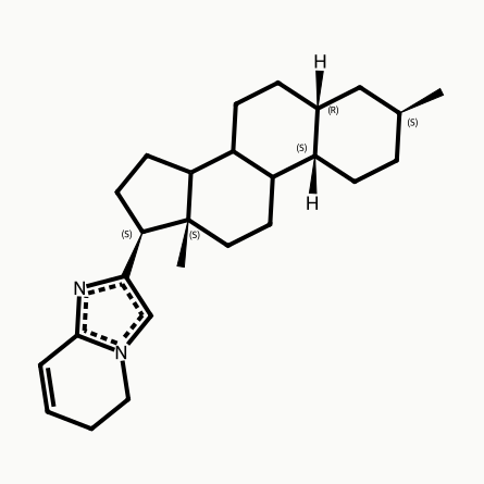 C[C@H]1CC[C@@H]2C3CC[C@@]4(C)C(CC[C@@H]4c4cn5c(n4)C=CCC5)C3CC[C@@H]2C1